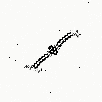 O=C(O)CCCCCCCCCCCOc1c(OCCCCCCCCCCCC(=O)O)c2cccc3c(OCCCCCCCCCCCC(=O)O)c(OCCCCCCCCCCCC(=O)O)c4cccc1c4c23